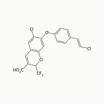 O=C(O)C1=Cc2cc(Cl)c(Oc3ccc(C=CCl)cc3)cc2OC1C(F)(F)F